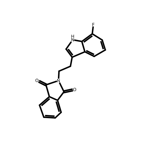 O=C1c2ccccc2C(=O)N1CCc1c[nH]c2c(F)cccc12